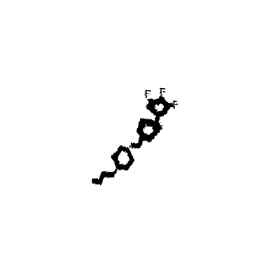 CCCC[C@H]1CC[C@H](CCc2ccc(-c3cc(F)c(F)c(F)c3)cc2)CC1